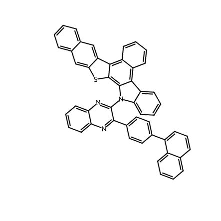 c1ccc2cc3c(cc2c1)sc1c3c2ccccc2c2c3ccccc3n(-c3nc4ccccc4nc3-c3ccc(-c4cccc5ccccc45)cc3)c12